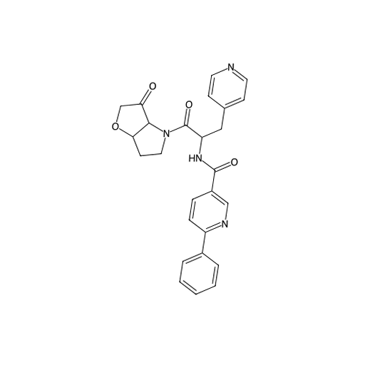 O=C(NC(Cc1ccncc1)C(=O)N1CCC2OCC(=O)C21)c1ccc(-c2ccccc2)nc1